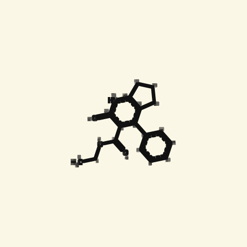 CCOC(=O)c1c(-c2ccccc2)c2c([nH]c1=O)CCC2